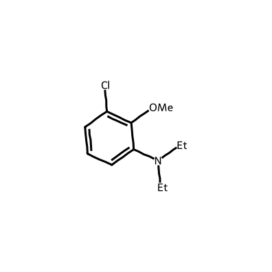 CCN(CC)c1cccc(Cl)c1OC